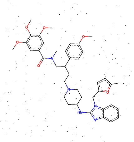 COc1ccc(C(CCN2CCC(Nc3nc4ccccc4n3Cc3ccc(C)o3)CC2)CN(C)C(=O)c2cc(OC)c(OC)c(OC)c2)cc1